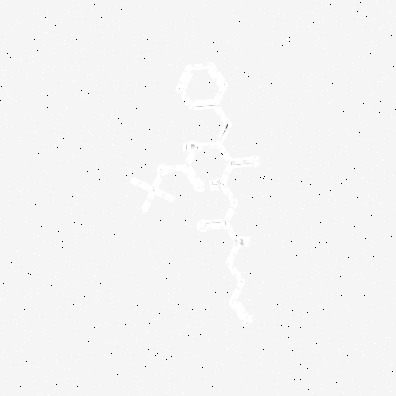 CC(C)(C)OC(=O)N[C@@H](Cc1ccccc1)C(=O)NCC(=O)NCCC=O